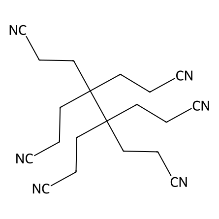 N#CCCC(CCC#N)(CCC#N)C(CCC#N)(CCC#N)CCC#N